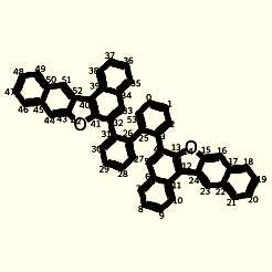 c1ccc(-c2cc3ccccc3c3c2oc2cc4ccccc4cc23)c(-c2ccccc2-c2cc3ccccc3c3c2oc2cc4ccccc4cc23)c1